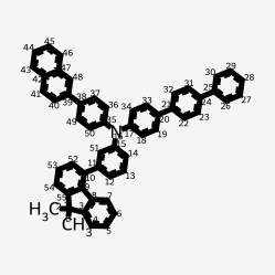 CC1(C)c2ccccc2-c2c(-c3cccc(N(c4ccc(-c5ccc(-c6ccccc6)cc5)cc4)c4ccc(-c5ccc6ccccc6c5)cc4)c3)cccc21